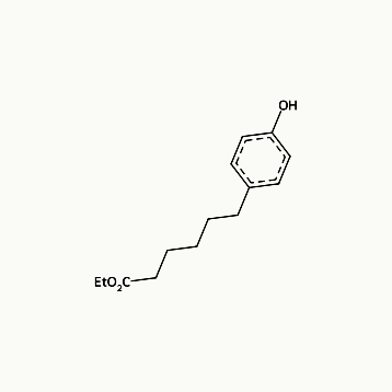 CCOC(=O)CCCCCc1ccc(O)cc1